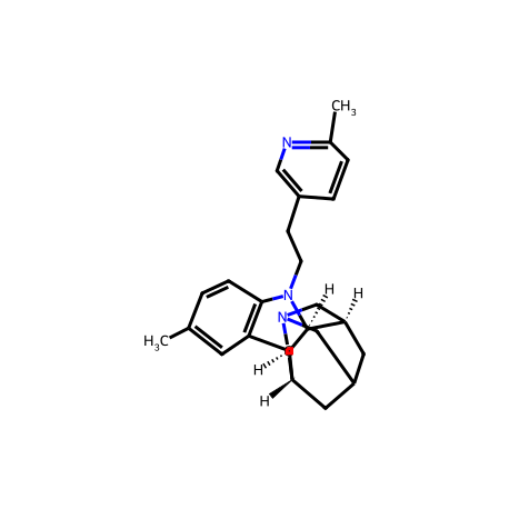 Cc1ccc2c(c1)[C@@H]1[C@H]3CC4C[C@H](CN(C4)C3)[C@@H]1N2CCc1ccc(C)nc1